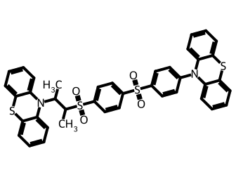 CC(C(C)S(=O)(=O)c1ccc(S(=O)(=O)c2ccc(N3c4ccccc4Sc4ccccc43)cc2)cc1)N1c2ccccc2Sc2ccccc21